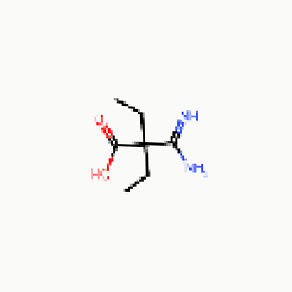 CCC(CC)(C(=N)N)C(=O)O